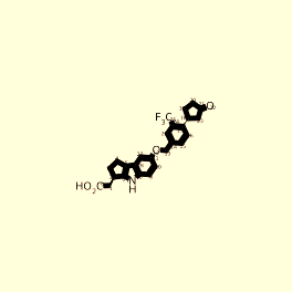 O=C(O)C[C@H]1CCc2c1[nH]c1ccc(OCc3ccc([C@@H]4CCC(=O)C4)c(C(F)(F)F)c3)cc21